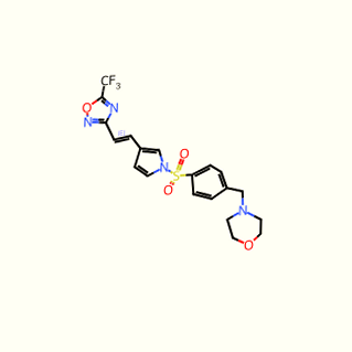 O=S(=O)(c1ccc(CN2CCOCC2)cc1)n1ccc(/C=C/c2noc(C(F)(F)F)n2)c1